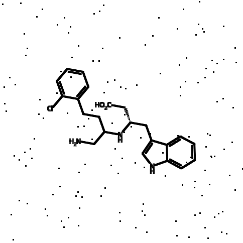 NCC(CCc1ccccc1Cl)N[C@H](CC(=O)O)Cc1c[nH]c2ccccc12